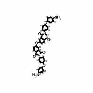 CN(C(=O)c1cc(Oc2ccc3c(c2)C(=O)N(c2ccc(Oc4ccc(N)cc4)cc2)C3=O)ccc1C=O)c1ccc(Oc2ccc(N)cc2)cc1